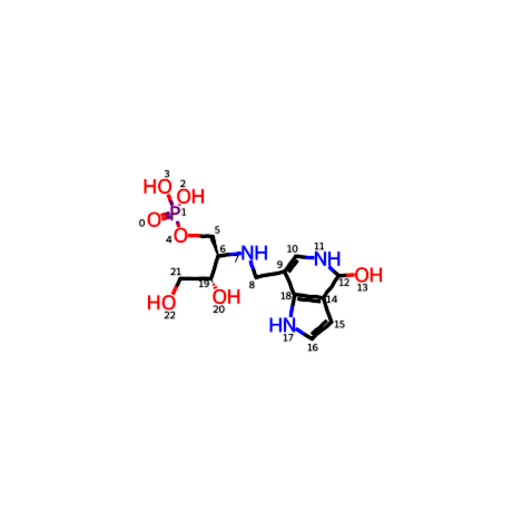 O=P(O)(O)OC[C@@H](NCC1=CNC(O)c2cc[nH]c21)[C@H](O)CO